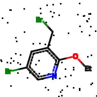 CCOc1ncc(Br)cc1CBr